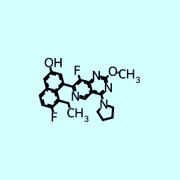 CCc1c(F)ccc2cc(O)cc(-c3ncc4c(N5CCCC5)nc(OC)nc4c3F)c12